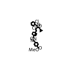 COC(=O)c1ccc(-c2noc(C34CCC(C=Cc5c(-c6c(Cl)cccc6Cl)noc5C5CC5)(CC3)C4)n2)cc1